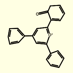 O=C1CC=CC=C1c1cc(-c2ccccc2)cc(-c2ccccc2)[o+]1